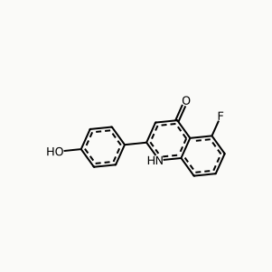 O=c1cc(-c2ccc(O)cc2)[nH]c2cccc(F)c12